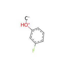 [CH2-][OH+]c1cccc(F)c1